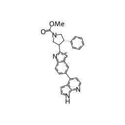 COC(=O)N1CC(c2nc3ccc(-c4ccnc5[nH]ccc45)cc3s2)[C@@H](c2ccccc2)C1